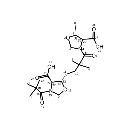 C[C@H]1OCN(C(=O)C(C)(C)CC[C@@H]2OCN(C(=O)C(C)(C)C)[C@H]2C(=O)O)[C@@H]1C(=O)O